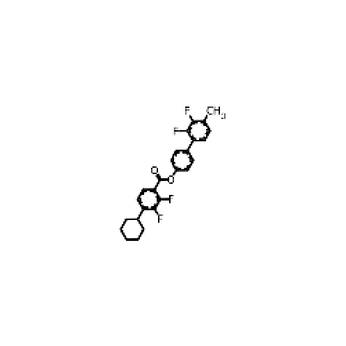 Cc1ccc(-c2ccc(OC(=O)c3ccc(C4CCCCC4)c(F)c3F)cc2)c(F)c1F